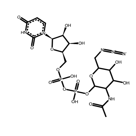 CC(=O)NC1C(OP(=O)(O)OP(=O)(O)OC[C@H]2O[C@@H](n3ccc(=O)[nH]c3=O)[C@@H](O)[C@H]2O)OC(CN=[N+]=[N-])C(O)C1O